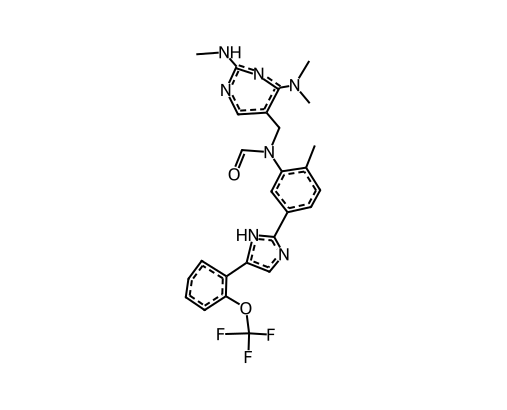 CNc1ncc(CN(C=O)c2cc(-c3ncc(-c4ccccc4OC(F)(F)F)[nH]3)ccc2C)c(N(C)C)n1